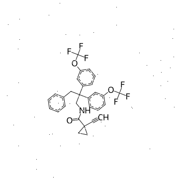 C#CC1(C(=O)NCC(Cc2ccccc2)(c2cccc(OC(F)(F)F)c2)c2cccc(OC(F)(F)F)c2)CC1